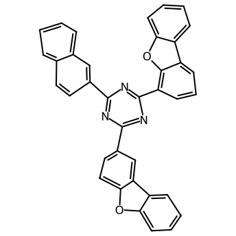 c1ccc2cc(-c3nc(-c4ccc5oc6ccccc6c5c4)nc(-c4cccc5c4oc4ccccc45)n3)ccc2c1